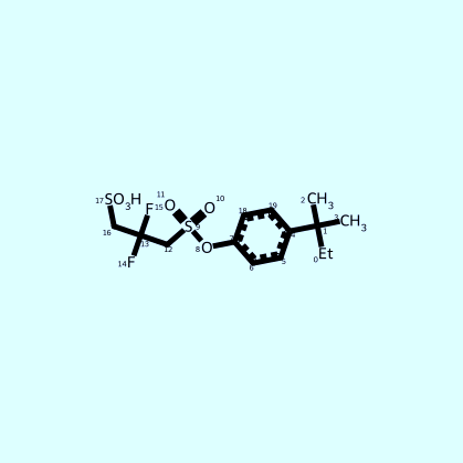 CCC(C)(C)c1ccc(OS(=O)(=O)CC(F)(F)CS(=O)(=O)O)cc1